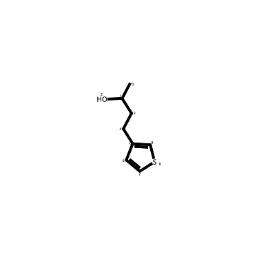 CC(O)CCc1ccsc1